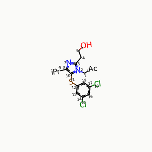 CC(=O)Cn1c(CCO)nc(C(C)C)c1Sc1cc(Cl)cc(Cl)c1